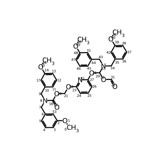 COc1cccc(CN(Cc2cccc(OC)c2)C(=O)OCOc2cccc(OC(OC=O)N(Cc3cccc(OC)c3)Cc3cccc(OC)c3)n2)c1